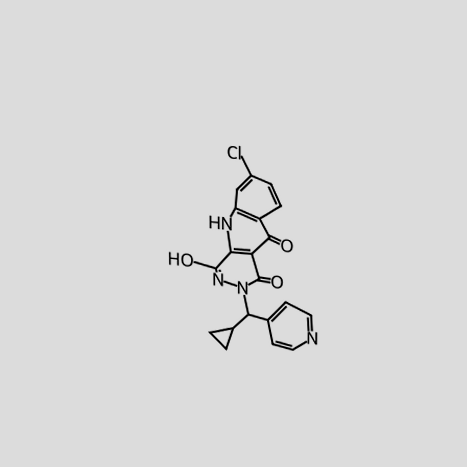 O=c1c2ccc(Cl)cc2[nH]c2c(O)nn(C(c3ccncc3)C3CC3)c(=O)c12